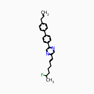 C=CCc1ccc(-c2ccc(-c3cnc(/C=C/CCCC(C)F)cn3)cc2)cc1